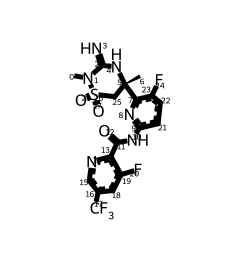 CN1C(=N)N[C@](C)(c2nc(NC(=O)c3ncc(C(F)(F)F)cc3F)ccc2F)CS1(=O)=O